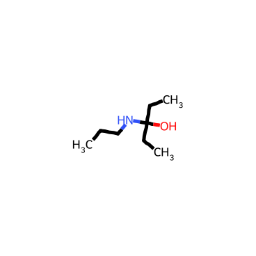 CCCNC(O)(CC)CC